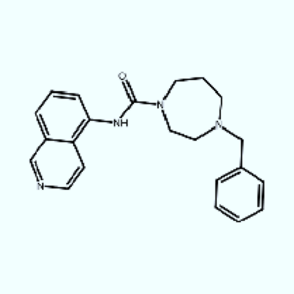 O=C(Nc1cccc2cnccc12)N1CCCN(Cc2ccccc2)CC1